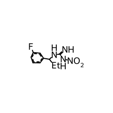 CCC(NC(=N)N[N+](=O)[O-])c1cccc(F)c1